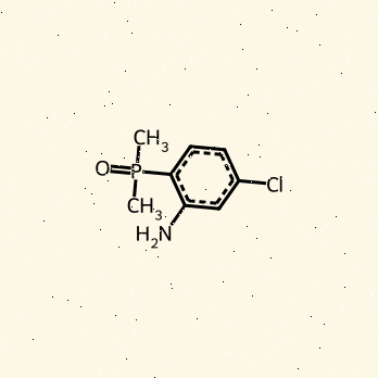 CP(C)(=O)c1ccc(Cl)cc1N